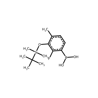 Cc1ccc(B(O)O)c(F)c1O[Si](C)(C)C(C)(C)C